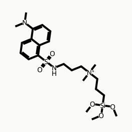 CO[Si](CCC[N+](C)(C)CCCNS(=O)(=O)c1cccc2c(N(C)C)cccc12)(OC)OC